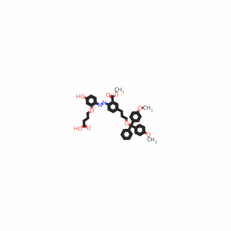 COC(=O)c1cc(CCCOC(c2ccccc2)(c2ccc(OC)cc2)c2ccc(OC)cc2)ccc1/N=N/c1ccc(O)cc1OCCCC(=O)O